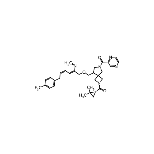 C=N/C(=C\C=C/Cc1ccc(C(F)(F)F)cc1)COCC1CN(C(=O)c2cnccn2)CC12CN(C(=O)[C@H]1CC1(C)C)C2